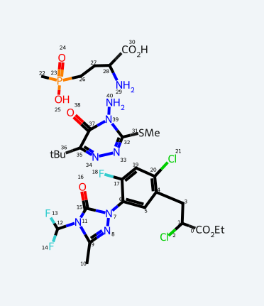 CCOC(=O)C(Cl)Cc1cc(-n2nc(C)n(C(F)F)c2=O)c(F)cc1Cl.CP(=O)(O)CCC(N)C(=O)O.CSc1nnc(C(C)(C)C)c(=O)n1N